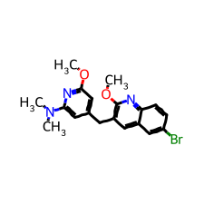 COc1cc(Cc2cc3cc(Br)ccc3nc2OC)cc(N(C)C)n1